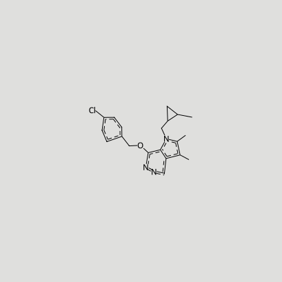 Cc1c(C)n(CC2CC2C)c2c(OCc3ccc(Cl)cc3)nncc12